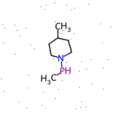 CPN1CCC(C)CC1